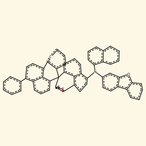 c1ccc(-c2ccc3c4c(cccc24)C2(c4ccccc4-3)c3ccccc3-c3ccc(N(c4ccc5c(c4)oc4ccccc45)c4cccc5ccccc45)c4cccc2c34)cc1